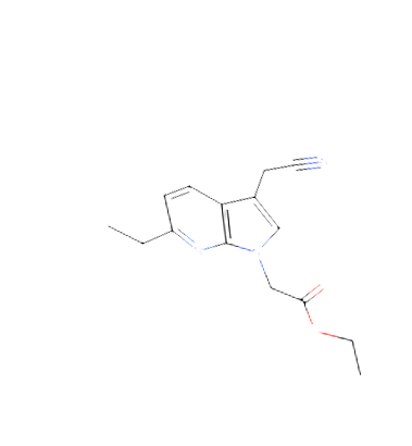 CCOC(=O)Cn1cc(CC#N)c2ccc(CC)nc21